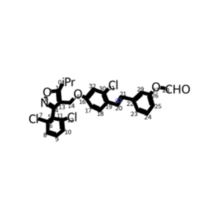 CC(C)c1onc(-c2c(Cl)cccc2Cl)c1COc1ccc(/C=C/c2cccc(OC=O)c2)c(Cl)c1